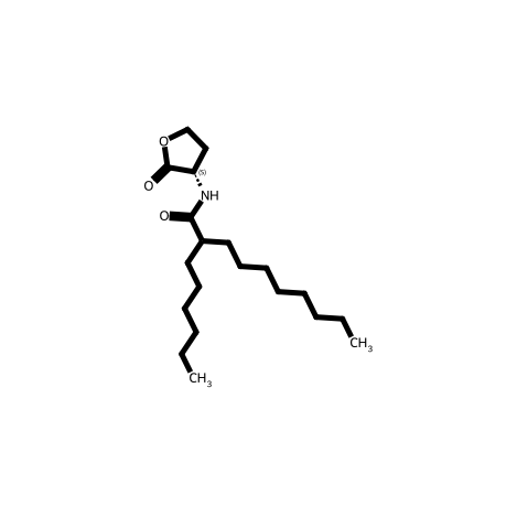 CCCCCCCCC(CCCCCC)C(=O)N[C@H]1CCOC1=O